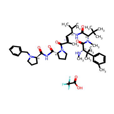 CN[C@H](C(=O)N(C)[C@H](C(=O)N[C@H](/C=C(\C)C(=O)N1CCC[C@@H]1C(=O)NC(=O)[C@H]1CCCN1Cc1ccccc1)C(C)C)C(C)(C)C)C(C)(C)c1cccc(C)c1.O=C(O)C(F)(F)F